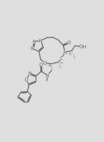 C[C@H]1CN([C@@H](C)CO)C(=O)CCCn2cc(nn2)CO[C@H]1CN(C)C(=O)c1cc(-c2ccccc2)on1